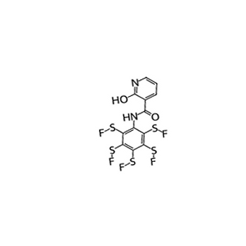 O=C(Nc1c(SF)c(SF)c(SF)c(SF)c1SF)c1cccnc1O